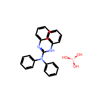 OB(O)O.c1ccc(N=C(Nc2ccccc2)N(c2ccccc2)c2ccccc2)cc1